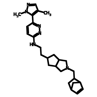 Cc1cnn(C)c1-c1ccc(NCCC2CC3CN(CC4CC5C=CC4C5)CC3C2)nn1